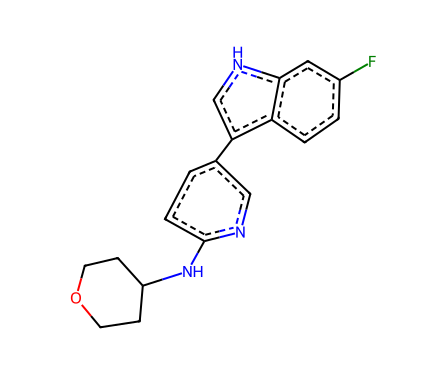 Fc1ccc2c(-c3ccc(NC4CCOCC4)nc3)c[nH]c2c1